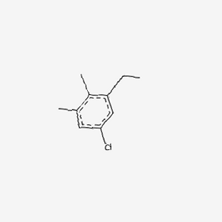 CCc1cc(Cl)cc(C)c1C